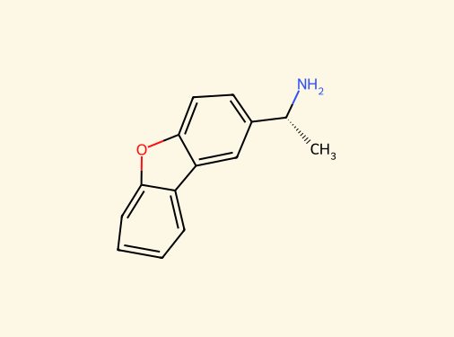 C[C@@H](N)c1ccc2oc3ccccc3c2c1